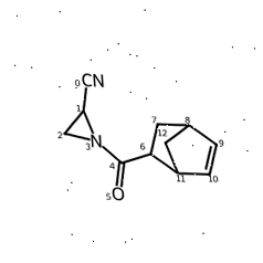 N#CC1CN1C(=O)C1CC2C=CC1C2